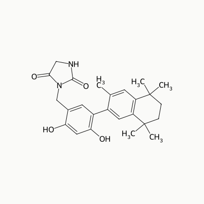 Cc1cc2c(cc1-c1cc(CN3C(=O)CNC3=O)c(O)cc1O)C(C)(C)CCC2(C)C